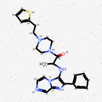 CC(Nc1c(-c2ccccc2)nc2cnccn12)C(=O)N1CCN(CCc2cccs2)CC1